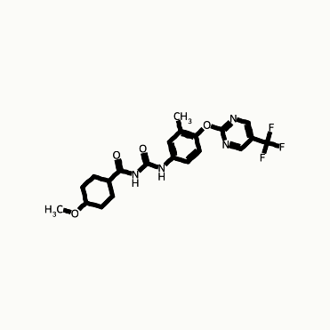 COC1CCC(C(=O)NC(=O)Nc2ccc(Oc3ncc(C(F)(F)F)cn3)c(C)c2)CC1